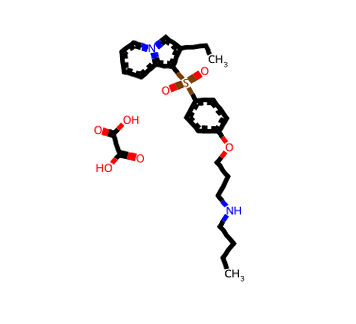 CCCCNCCCOc1ccc(S(=O)(=O)c2c(CC)cn3ccccc23)cc1.O=C(O)C(=O)O